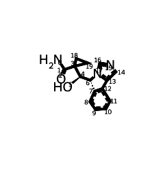 NC(=O)C1([C@H](O)[C@H]2c3ccccc3-c3cncn32)CC1